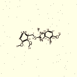 COc1ccnc(CSc2nc3c(F)c(OC)ccc3n2F)c1OC